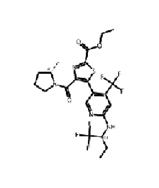 CCOC(=O)c1nc(C(=O)N2CCC[C@@H]2C)c(-c2cnc(N[C@@H](CC)C(F)(F)F)cc2C(F)(F)F)s1